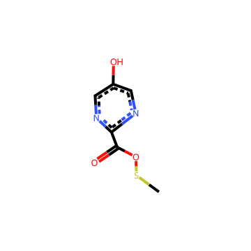 CSOC(=O)c1ncc(O)cn1